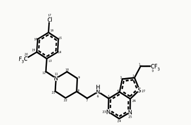 FC(F)(F)Cc1cc2c(NCC3CCN(Cc4ccc(Cl)cc4C(F)(F)F)CC3)ncnc2s1